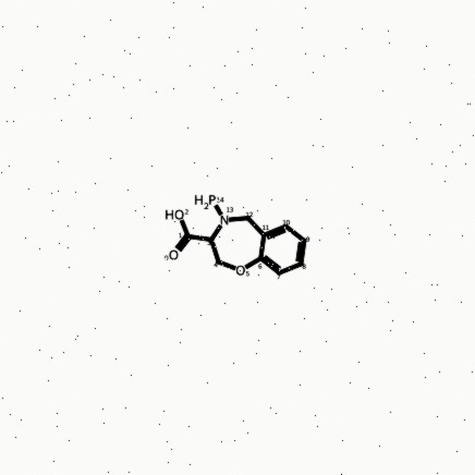 O=C(O)C1COc2ccccc2CN1P